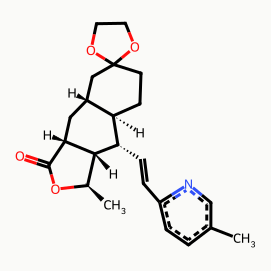 Cc1ccc(/C=C/[C@H]2[C@@H]3CCC4(C[C@H]3C[C@H]3C(=O)O[C@H](C)[C@@H]23)OCCO4)nc1